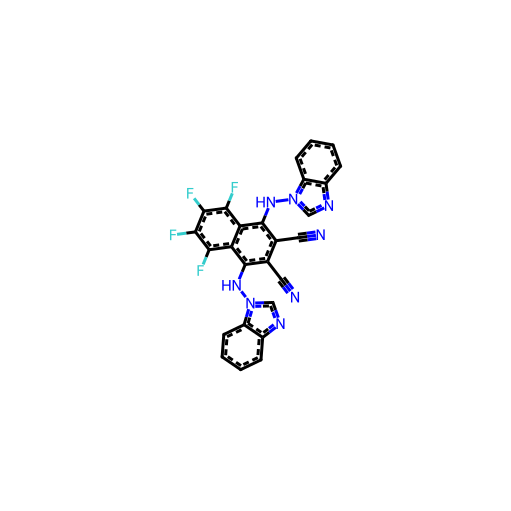 N#Cc1c(C#N)c(Nn2cnc3ccccc32)c2c(F)c(F)c(F)c(F)c2c1Nn1cnc2ccccc21